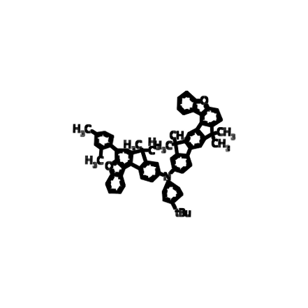 Cc1ccc(-c2cc3c(c4c2oc2ccccc24)-c2ccc(N(c4ccc(C(C)(C)C)cc4)c4ccc5c(c4)C(C)(C)c4cc6c(cc4-5)C(C)(C)c4ccc5oc7ccccc7c5c4-6)cc2C3(C)C)c(C)c1